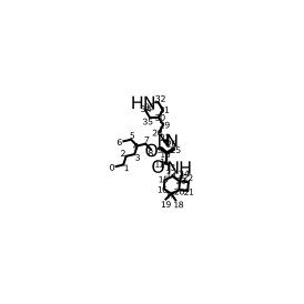 CCCCC(CC)COc1c(C(=O)NC2CCC(C)(C)C3CCC23C)cnn1CCC1CCNCC1